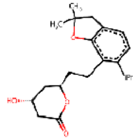 CC(C)c1ccc2c(c1CC[C@@H]1C[C@@H](O)CC(=O)O1)OC(C)(C)C2